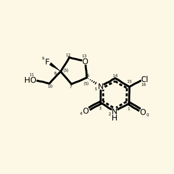 O=c1[nH]c(=O)n([C@@H]2C[C@](F)(CO)CO2)cc1Cl